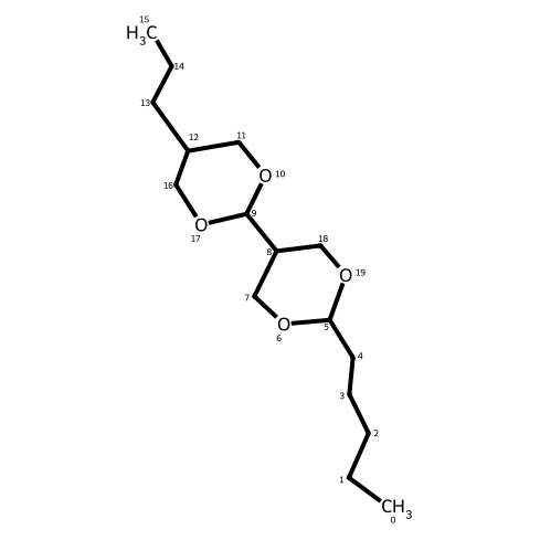 CCCCCC1OCC(C2OCC(CCC)CO2)CO1